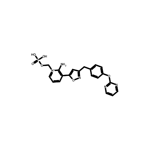 Nc1c(-c2cc(Cc3ccc(Oc4ncccn4)cc3)no2)ccc[n+]1COP(=O)(O)O